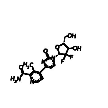 Cc1c(-c2ccn([C@@H]3O[C@H](CO)[C@@H](O)C3(F)F)c(=O)n2)ccnc1C(N)=O